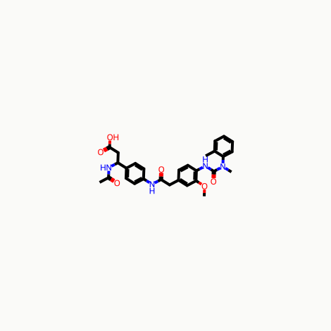 COc1cc(CC(=O)Nc2ccc(C(CC(=O)O)NC(C)=O)cc2)ccc1NC(=O)N(C)c1ccccc1C